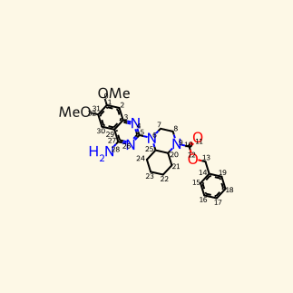 COc1cc2nc(N3CCN(C(=O)OCc4ccccc4)C4CCCCC43)nc(N)c2cc1OC